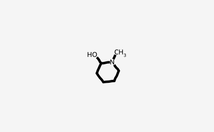 CN1CCCC[C]1O